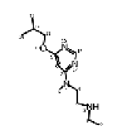 CCNCCN(C)c1cc(OCC(C)C)ncn1